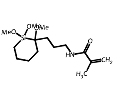 C=C(C)C(=O)NCCCC1(OC)CCCC[Si]1(OC)OC